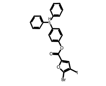 O=C(Oc1ccc([SH](c2ccccc2)c2ccccc2)cc1)c1cc(I)c(Br)o1